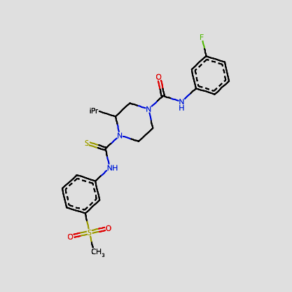 CC(C)C1CN(C(=O)Nc2cccc(F)c2)CCN1C(=S)Nc1cccc(S(C)(=O)=O)c1